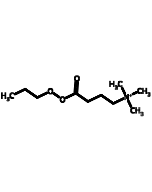 CCCOOC(=O)CCC[N+](C)(C)C